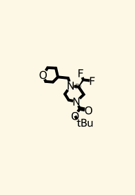 CC(C)(C)OC(=O)N1CCN(CC2CCOCC2)[C@@H](C(F)F)C1